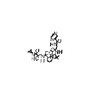 CC(C)(C)C(NC(=O)CNC(=O)c1cnccn1)C(=O)N1CCC[C@H]1C(=O)NCC(=O)C(=O)NC1CC1